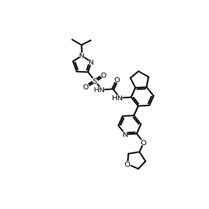 CC(C)n1ccc(S(=O)(=O)NC(=O)Nc2c(-c3ccnc(OC4CCOC4)c3)ccc3c2CCC3)n1